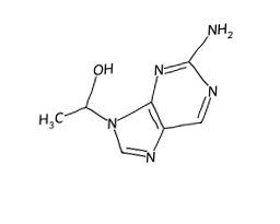 CC(O)n1cnc2cnc(N)nc21